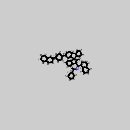 C=C(/N=C(\C1=C(C)C2(c3ccccc31)c1ccccc1-c1ccc(-c3ccc(-c4ccc5ccccc5c4)cc3)cc12)c1cccc2ccccc12)c1ccccc1